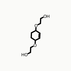 OCCOC1C=CC(OCCO)CC1